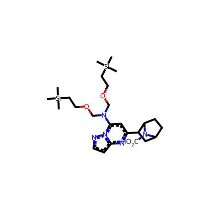 C[Si](C)(C)CCOCN(COCC[Si](C)(C)C)c1cc(C2CC3CCC2N3C(=O)O)nc2ccnn12